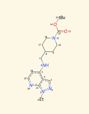 CCn1ncc2c(NCC3CCN(C(=O)OC(C)(C)C)CC3)ccnc21